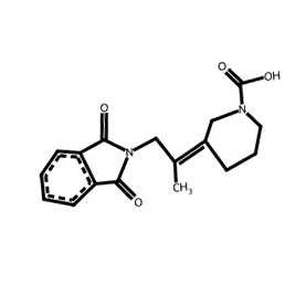 C/C(CN1C(=O)c2ccccc2C1=O)=C1\CCCN(C(=O)O)C1